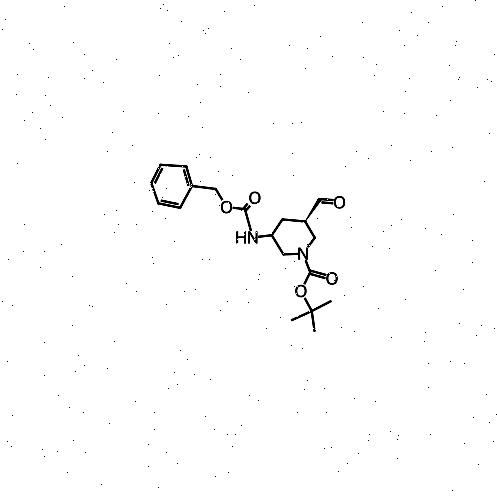 CC(C)(C)OC(=O)N1CC(NC(=O)OCc2ccccc2)C[C@@H](C=O)C1